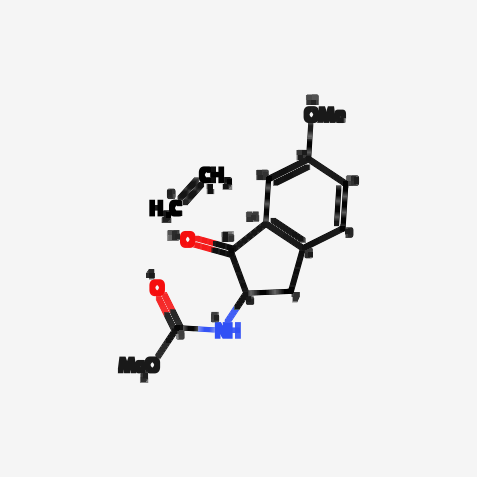 C=C.COC(=O)NC1Cc2ccc(OC)cc2C1=O